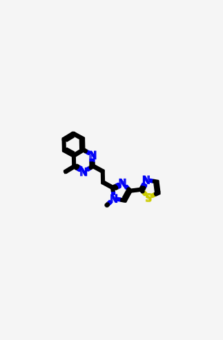 Cc1nc(CCc2nc(-c3nccs3)cn2C)nc2ccccc12